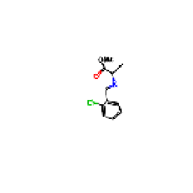 COC(=O)C(C)N=Cc1ccccc1Cl